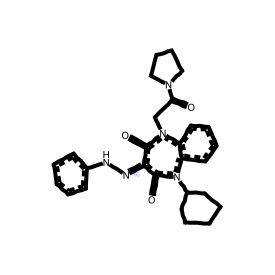 O=C(Cn1c(=O)/c(=N\Nc2ccccc2)c(=O)n(C2CCCCC2)c2ccccc21)N1CCCC1